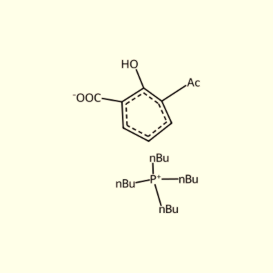 CC(=O)c1cccc(C(=O)[O-])c1O.CCCC[P+](CCCC)(CCCC)CCCC